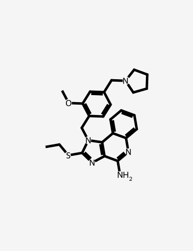 CCSc1nc2c(N)nc3ccccc3c2n1Cc1ccc(CN2CCCC2)cc1OC